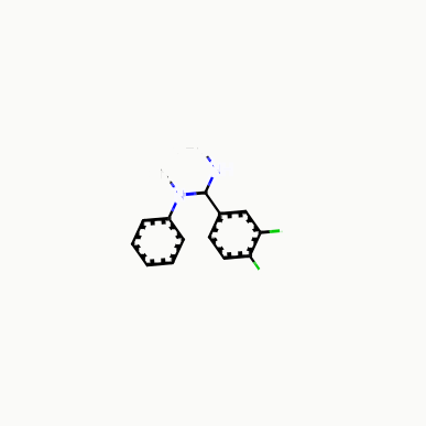 O=CNC(c1ccc(Cl)c(Cl)c1)N(N=O)c1ccccc1